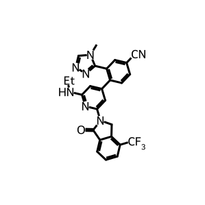 CCNc1cc(-c2ccc(C#N)cc2-c2nncn2C)cc(N2Cc3c(cccc3C(F)(F)F)C2=O)n1